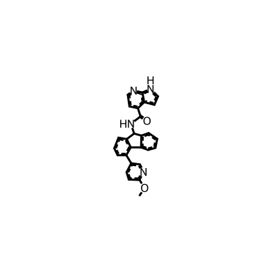 COc1ccc(-c2cccc3c2-c2ccccc2C3NC(=O)c2ccnc3[nH]ccc23)cn1